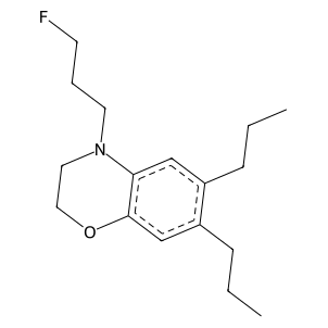 CCCc1cc2c(cc1CCC)N(CCCF)CCO2